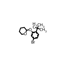 CC(C)(C)c1ccc(Br)cc1OC1CCCCO1